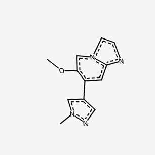 COc1cn2ccnc2cc1-c1cnn(C)c1